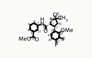 COC(=O)c1cccc(NC(=O)[C@@H]2S[C@@](C)(C(F)(F)F)C[C@H]2c2ccc(F)c(F)c2OC)c1